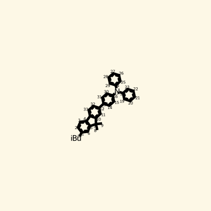 CCC(C)c1ccc2c(c1)C(C)(C)c1cc(-c3ccc(N(c4ccccc4)c4ccccc4)cc3)ccc1-2